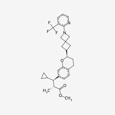 COC(=O)[C@H](C)[C@H](c1ccc2c(c1)O[C@@H](C1CC3(C1)CN(c1ncccc1C(F)(F)F)C3)CC2)C1CC1